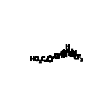 Cc1nc(C(F)(F)F)ccc1Nc1ccc(-c2ccc(C3CCC(CC(=O)O)CC3)cc2)nn1